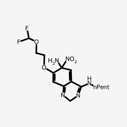 CCCCCNC1=NCN=C2C=C(OCCOC(F)F)C(N)([N+](=O)[O-])C=C21